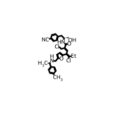 CC/C(Cl)=C(\C=C(/CCl)C(=O)N[C@@H](CO)Cc1ccc(C#N)cc1)c1ccc(CN[C@H](C)c2ccc(C)cc2)o1